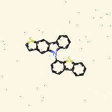 c1ccc2c(c1)sc1c(-n3c4ccccc4c4cc5sccc5cc43)cccc12